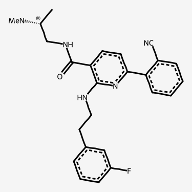 CN[C@H](C)CNC(=O)c1ccc(-c2ccccc2C#N)nc1NCCc1cccc(F)c1